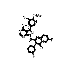 COc1ncc(-c2nn([C@H](C)c3nc4ccc(F)cn4c(=O)c3-c3cccc(F)c3)c3ncnc(N)c23)cc1C#N